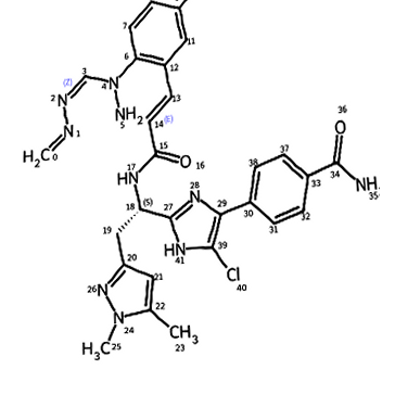 C=N/N=C\N(N)c1ccc(Cl)cc1/C=C/C(=O)N[C@@H](Cc1cc(C)n(C)n1)c1nc(-c2ccc(C(N)=O)cc2)c(Cl)[nH]1